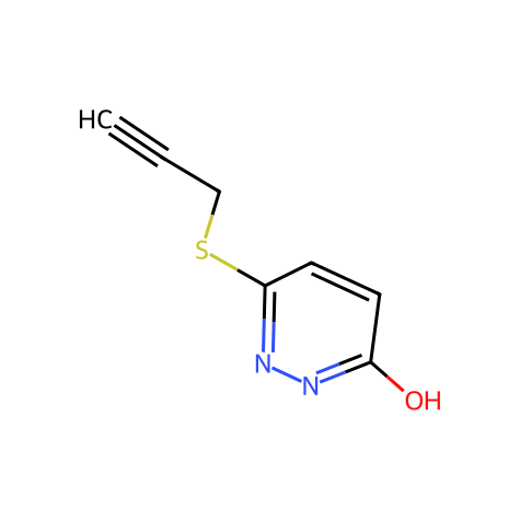 C#CCSc1ccc(O)nn1